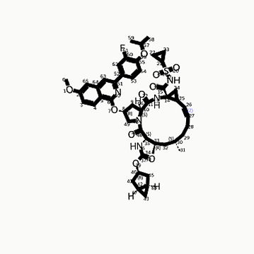 COc1ccc2c(O[C@@H]3C[C@H]4C(=O)N[C@]5(C(=O)NS(=O)(=O)C6CC6)CC5/C=C\CC[C@H](C)C[C@@H](C)[C@H](NC(=O)O[C@@H]5C[C@@H]6C[C@@H]6C5)C(=O)N4C3)nc(-c3ccc(OC(C)C)c(F)c3)cc2c1